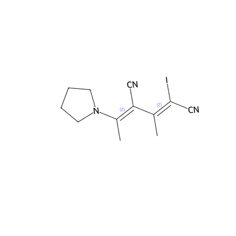 CC(=C(/I)C#N)/C(C#N)=C(\C)N1CCCC1